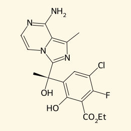 CCOC(=O)c1c(O)c([C@](C)(O)c2nc(C)c3c(N)nccn23)cc(Cl)c1F